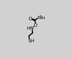 CC(C)(C)C(=O)ONCCS